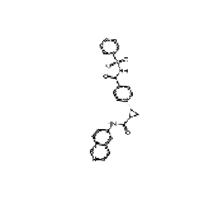 O=C(NS(=O)(=O)c1ccccc1)c1ccc([C@@H]2C[C@H]2C(=O)Nc2ccc3cnccc3c2)cc1